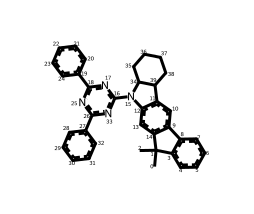 CC1(C)c2ccccc2-c2cc3c(cc21)N(c1nc(-c2ccccc2)nc(-c2ccccc2)n1)C1CCCCC31